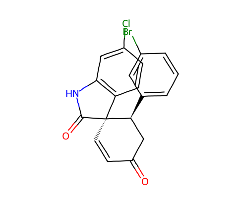 O=C1C=C[C@@]2(C(=O)Nc3cc(Cl)ccc32)[C@@H](c2cccc(Br)c2)C1